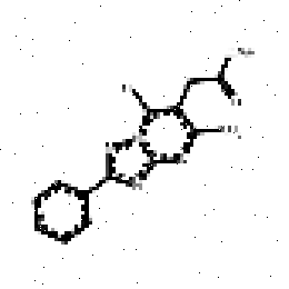 COC(=O)Cc1c(C)nc2nc(-c3ccccc3)nn2c1Cl